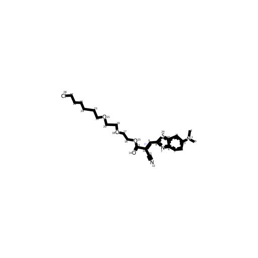 CN(C)c1ccc2nc(/C=C(\C#N)C(=O)OCCOCCOCCCCCCCl)sc2c1